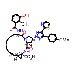 COc1ccc(-c2nn([C@@H]3C[C@H]4C(=O)N[C@]5(C(=O)O)C[C@H]5/C=C\CCCCC[C@H](NC(=O)c5cccc(O)c5C)C(=O)N4C3)nc2-c2nccs2)cc1